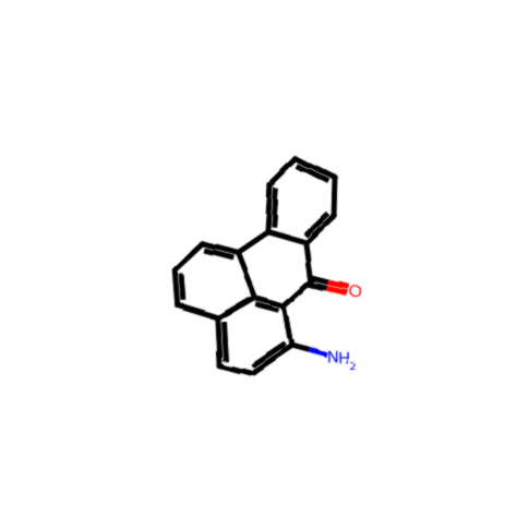 Nc1ccc2cccc3c2c1C(=O)c1ccccc1-3